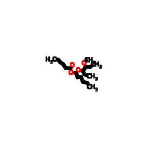 CCCCCC(=O)OC(CCCCC)OC(CC)C(CC)OC